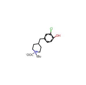 CC(C)(C)[N+]1(C(=O)[O-])CCC(Cc2ccc(O)c(Cl)c2)CC1